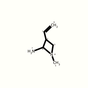 C=CC1CN(C)C1N